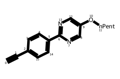 C#Cc1ccc(-c2ncc(OCCCCC)cn2)cc1